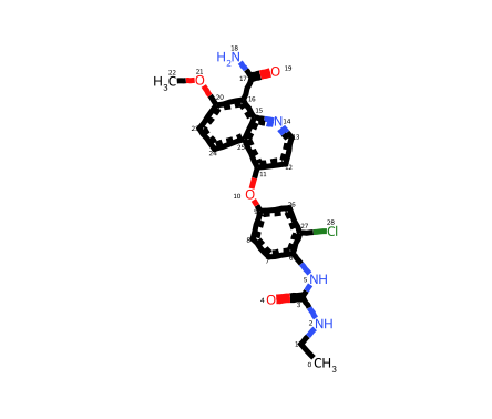 CCNC(=O)Nc1ccc(Oc2ccnc3c(C(N)=O)c(OC)ccc23)cc1Cl